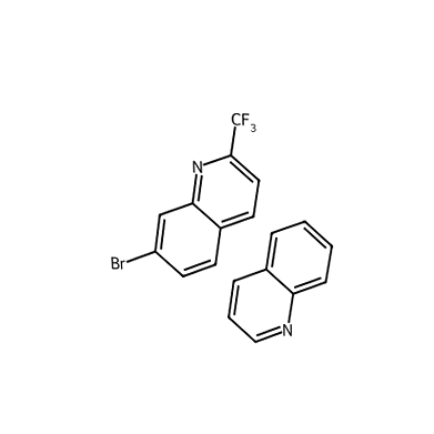 FC(F)(F)c1ccc2ccc(Br)cc2n1.c1ccc2ncccc2c1